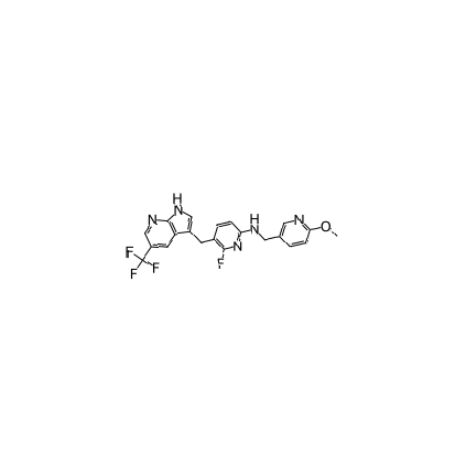 COc1ccc(CNc2ccc(Cc3c[nH]c4ncc(C(F)(F)F)cc34)c(F)n2)cn1